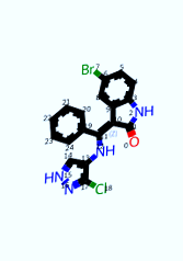 O=C1Nc2ccc(Br)cc2/C1=C(/Nc1c[nH]nc1Cl)c1ccccc1